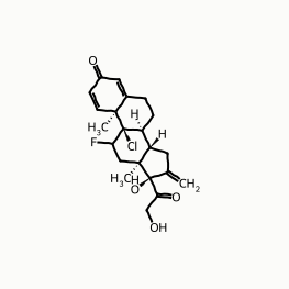 C=C1C[C@H]2[C@@H]3CCC4=CC(=O)C=C[C@]4(C)[C@@]3(Cl)C(F)C[C@]2(C)[C@@]1(O)C(=O)CO